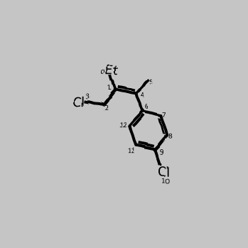 CCC(CCl)=C(C)c1ccc(Cl)cc1